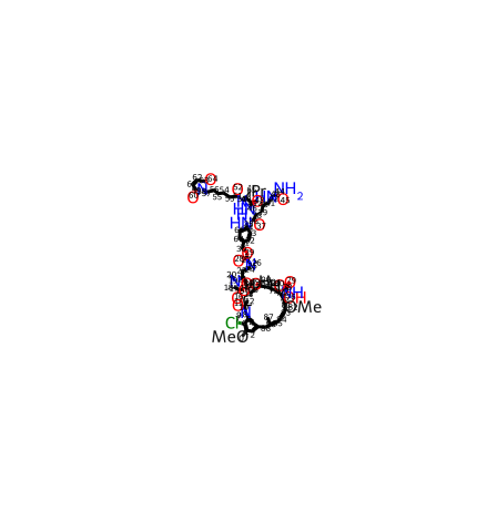 COc1cc2cc(c1Cl)N(C)C(=O)C[C@H](OC(=O)[C@H](C)N(C)C(=O)CCN(C)C(=O)OCc1ccc(NC(=O)[C@H](CCCNC(N)=O)NC(=O)[C@@H](NC(=O)CCCCCN3C(=O)C=CC3=O)C(C)C)cc1)[C@@H]1O[C@H]1[C@H](C)[C@@H]1C[C@@](O)(NC(=O)O1)[C@H](OC)/C=C/C=C(\C)C2